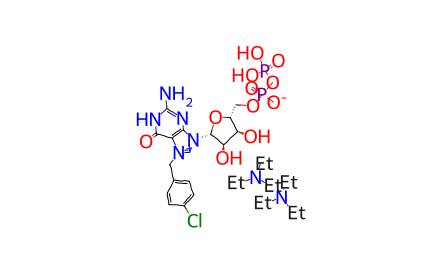 CCN(CC)CC.CCN(CC)CC.Nc1nc2c(c(=O)[nH]1)[n+](Cc1ccc(Cl)cc1)cn2[C@@H]1O[C@H](COP(=O)([O-])OP(=O)(O)O)[C@@H](O)[C@H]1O